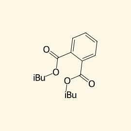 CCC(C)OC(=O)c1ccccc1C(=O)OC(C)CC